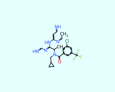 C/C=N\C(=C/C=N)N/C(=N\C=N)C(C)N(CC1CC1)C(=O)c1cc(Cl)cc(C(F)(F)F)c1